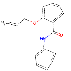 C=CCOc1ccccc1C(=O)Nc1ccccc1